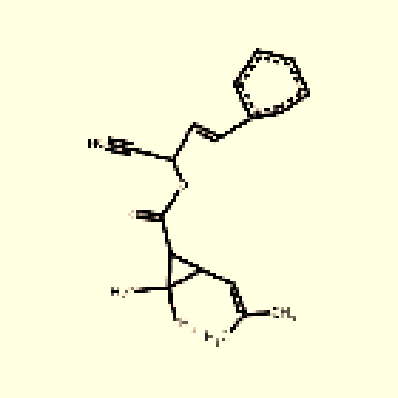 C#CC(/C=C/c1ccccc1)OC(=O)C1C(C=C(C)C)C1(C)C